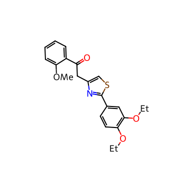 CCOc1ccc(-c2nc(CC(=O)c3ccccc3OC)cs2)cc1OCC